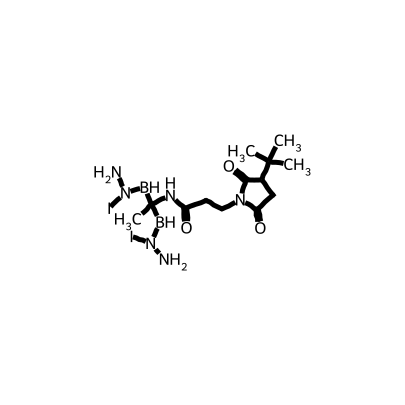 CC(BN(N)I)(BN(N)I)NC(=O)CCN1C(=O)CC(C(C)(C)C)C1=O